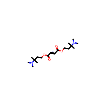 CN(C)C(C)(C)CCOC(=O)/C=C/C(=O)OCCC(C)(C)N(C)C